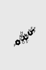 O=C(Nc1ccc(F)cc1)c1c([S-])c[n+](-c2ccc(C(F)(F)F)nc2)nc1O